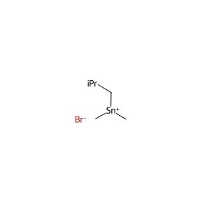 CC(C)[CH2][Sn+]([CH3])[CH3].[Br-]